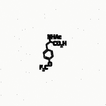 CC(=O)N[C@H](Cc1ccc(OC(F)(F)F)cc1)C(=O)O